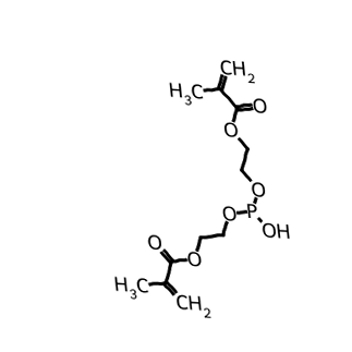 C=C(C)C(=O)OCCOP(O)OCCOC(=O)C(=C)C